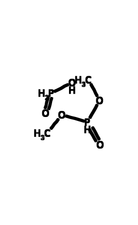 CO[PH](=O)OC.O=[PH2]O